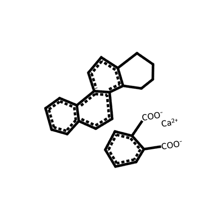 O=C([O-])c1ccccc1C(=O)[O-].[Ca+2].c1ccc2c(c1)ccc1c3c(ccc12)CCCC3